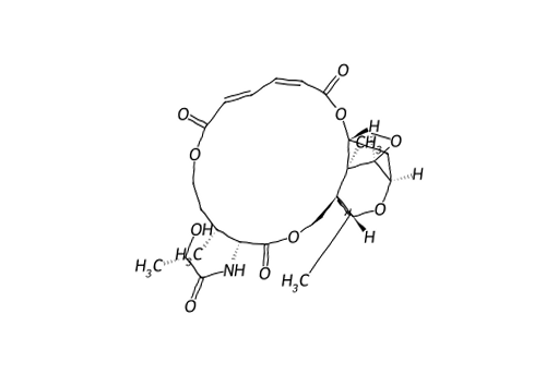 CC1=C[C@H]2O[C@@H]3C[C@H]4OC(=O)/C=C\C=C\C(=O)OCC[C@@H](C)[C@@H](NC(=O)[C@H](C)O)C(=O)OC[C@@]2(CC1)[C@]4(C)[C@]31CO1